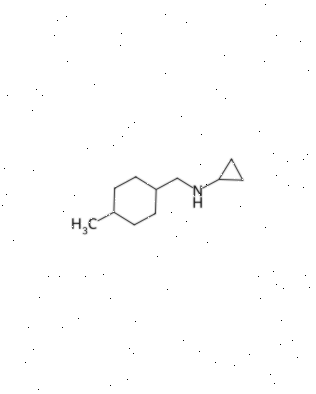 CC1CCC(CNC2CC2)CC1